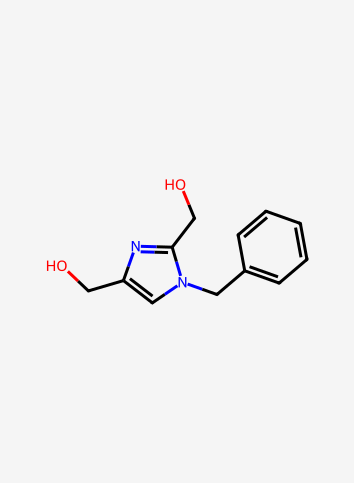 OCc1cn(Cc2ccccc2)c(CO)n1